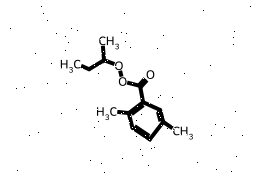 CC[C](C)OOC(=O)c1cc(C)ccc1C